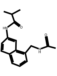 CC(=O)NCc1cccc2ccc(NC(=O)C(C)C)cc12